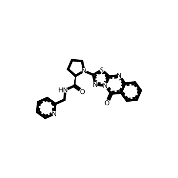 O=C(NCc1ccccn1)[C@H]1CCCN1c1nn2c(=O)c3ccccc3nc2s1